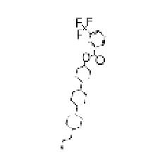 C=CC[C@H]1CC[C@H]([C@H]2CC[C@H]([C@H]3CC[C@H](OC(=O)c4cccc(C(F)(F)F)c4)CC3)CC2)CC1